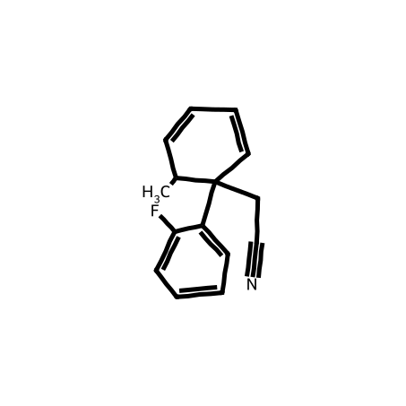 CC1C=CC=CC1(CC#N)c1ccccc1F